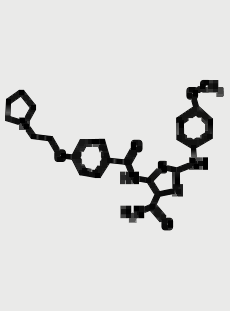 COc1ccc(NC2=NC(C(N)=O)C(NC(=O)c3ccc(OCCN4CCCC4)cc3)S2)cc1